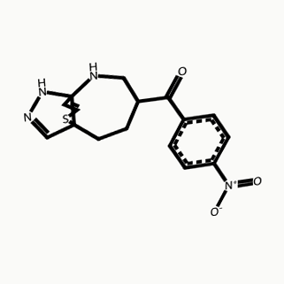 O=C(c1ccc([N+](=O)[O-])cc1)C1CCC23C=NNC2(C=CS3)NC1